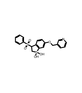 O=S(=O)(c1ccccc1)C1CS(O)(O)c2cc(OCc3cccnc3)ccc21